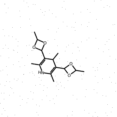 CC1=C(C2OC(C)O2)C(C)C(C2OC(C)O2)=C(C)N1